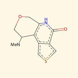 CNC1COCc2[nH]c(=O)c3cscc3c21